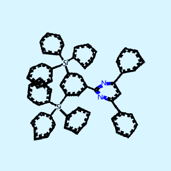 c1ccc(-c2cc(-c3ccccc3)nc(-c3cc([Si](c4ccccc4)(c4ccccc4)c4ccccc4)cc([Si](c4ccccc4)(c4ccccc4)c4ccccc4)c3)n2)cc1